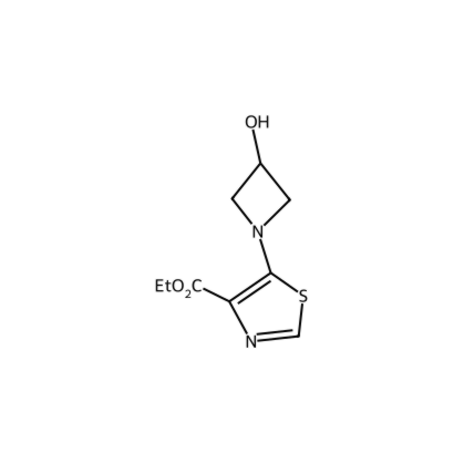 CCOC(=O)c1ncsc1N1CC(O)C1